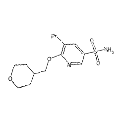 CC(C)c1cc(S(N)(=O)=O)cnc1OCC1CCOCC1